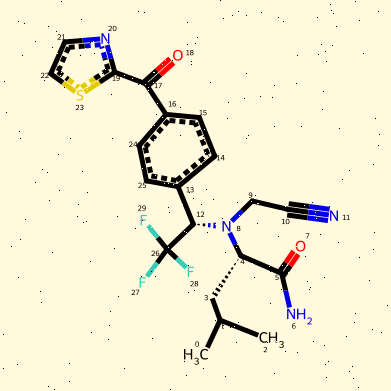 CC(C)C[C@@H](C(N)=O)N(CC#N)[C@@H](c1ccc(C(=O)c2nccs2)cc1)C(F)(F)F